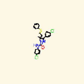 CC1(CCSc2ccccc2)CN(C(=O)Nc2ccc(Cl)cc2)N=C1c1ccc(Cl)cc1